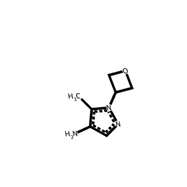 Cc1c(N)cnn1C1COC1